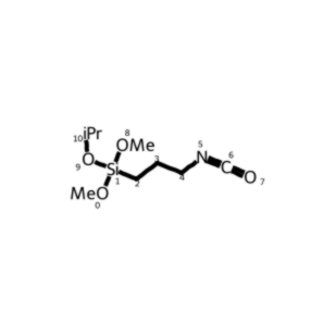 CO[Si](CCCN=C=O)(OC)OC(C)C